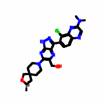 C[C@H]1CC2(CCN(c3nc4[nH]nc(-c5ccc6ncc(N(C)C)nc6c5Cl)c4nc3CO)CC2)CO1